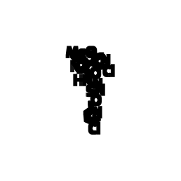 COc1cnc(Cl)cc1-c1cc(C)ncc1C(=O)Nc1nnc(OCc2ccc(Cl)cn2)s1